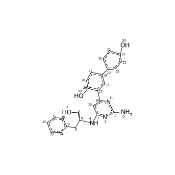 Nc1nc(N[C@H](CO)Cc2ccccc2)cc(-c2cc(-c3ccc(O)cc3)ccc2O)n1